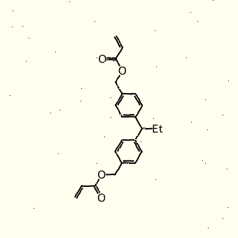 C=CC(=O)OCc1ccc(C(CC)c2ccc(COC(=O)C=C)cc2)cc1